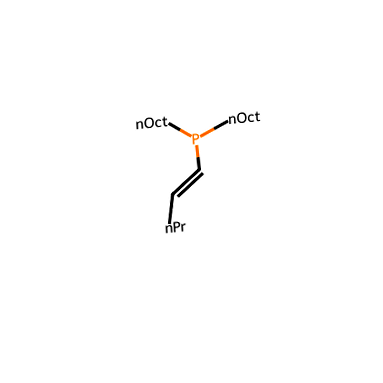 CCCC=CP(CCCCCCCC)CCCCCCCC